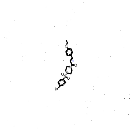 CCOc1ccc(/C=C/C(=O)N2CCN(S(=O)(=O)c3ccc(Br)cc3)CC2)cc1